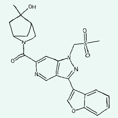 CC1(O)CC2CC1CN2C(=O)c1cc2c(cn1)c(-c1coc3ccccc13)nn2CS(C)(=O)=O